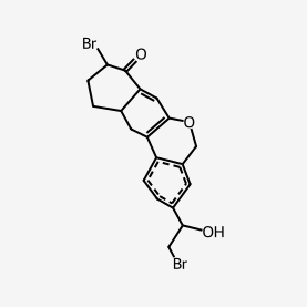 O=C1C2=CC3=C(CC2CCC1Br)c1ccc(C(O)CBr)cc1CO3